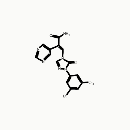 CCc1cc(-n2ncn(/C=C(/C(N)=O)c3cncnc3)c2=O)cc(C(F)(F)F)c1